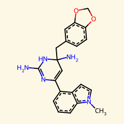 Cn1ccc2c(C3=CC(N)(Cc4ccc5c(c4)OCO5)NC(N)=N3)cccc21